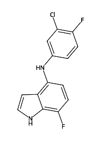 Fc1ccc(Nc2ccc(F)c3[nH]ccc23)cc1Cl